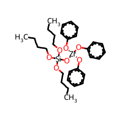 CCCCO[Si](OCCCC)(OCCCC)[O][Zr]([O]c1ccccc1)([O]c1ccccc1)[O]c1ccccc1